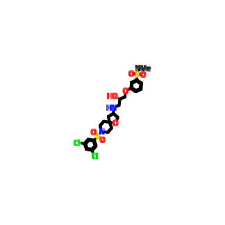 CNS(=O)(=O)c1cccc(OC[C@@H](O)CNC2COC3(CCN(S(=O)(=O)c4cc(Cl)cc(Cl)c4)CC3)C2)c1